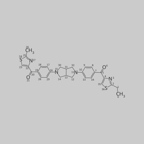 CCc1nc(C(=O)c2ccc(N3CC4CN(c5ccc(C(=O)c6csc(C)n6)cc5)CC4C3)cc2)cs1